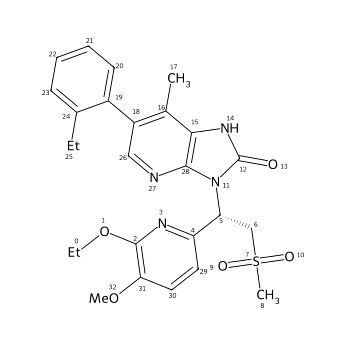 CCOc1nc([C@@H](CS(C)(=O)=O)n2c(=O)[nH]c3c(C)c(-c4ccccc4CC)cnc32)ccc1OC